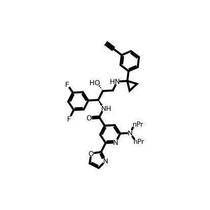 C#Cc1cccc(C2(NC[C@@H](O)[C@@H](NC(=O)c3cc(-c4ncco4)nc(N(CCC)CCC)c3)c3cc(F)cc(F)c3)CC2)c1